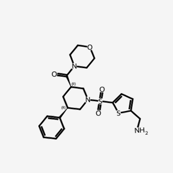 NCc1ccc(S(=O)(=O)N2C[C@H](C(=O)N3CCOCC3)C[C@H](c3ccccc3)C2)s1